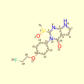 C[S+]([O-])c1nc2[nH]ccc2c(=O)n1-c1ccc(OCCF)cc1